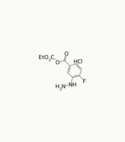 CCOC(=O)OC(=O)c1ccc(F)c(NN)c1.Cl